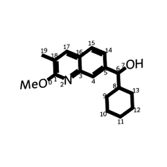 COc1nc2cc(C(O)C3CCCCC3)ccc2cc1C